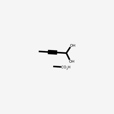 CC#CC(O)O.CC(=O)O